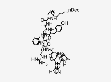 CCCCCCCCCCCCCCCC(=O)N[C@@H](CC(C)C)C(=O)N[C@@H](C)C(=O)N[C@@H](Cc1ccc(O)cc1)C(=O)N[C@@H](Cc1ccccc1)C(=O)N[C@@H](CCCNC(=N)N)C(=O)N[C@@H](C)C(=O)N[C@@H](CC(C)C)C(=O)N[C@@H](Cc1c[nH]cn1)C(=O)N[C@H](C)CO